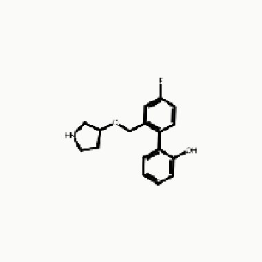 Oc1ccccc1-c1ccc(F)cc1COC1CCNC1